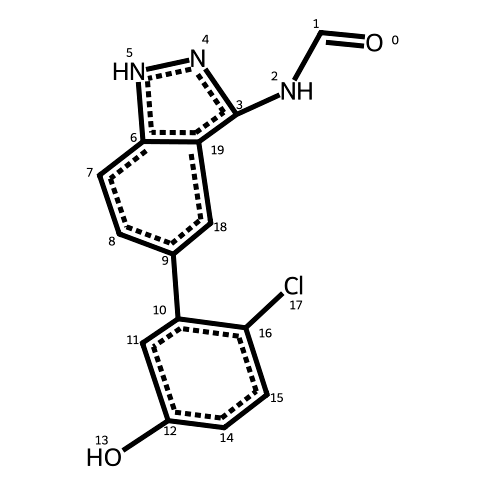 O=CNc1n[nH]c2ccc(-c3cc(O)ccc3Cl)cc12